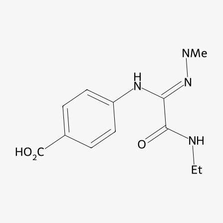 CCNC(=O)/C(=N/NC)Nc1ccc(C(=O)O)cc1